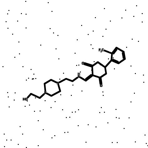 O=C1CC(c2ccccc2C(F)(F)F)CC(=O)C1=CNCCN1CCN(CCO)CC1